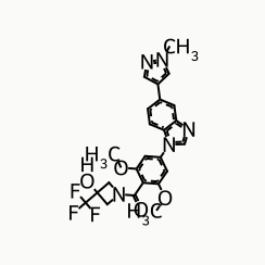 COc1cc(-n2cnc3cc(-c4cnn(C)c4)ccc32)cc(OC)c1C(=O)N1CC(O)(C(F)(F)F)C1